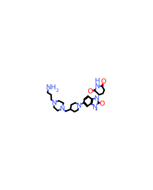 Cn1c(=O)n(C2CCC(=O)NC2=O)c2ccc(N3CCC(CN4CCN(CCCN)CC4)CC3)cc21